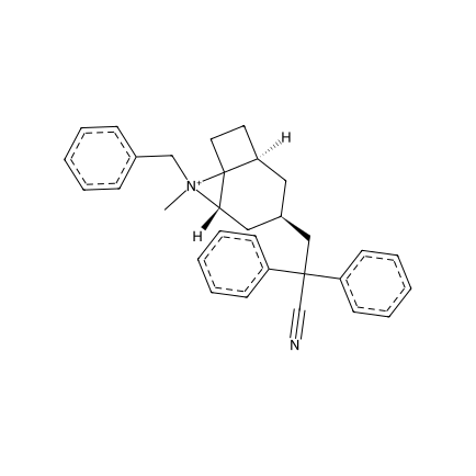 C[N+]1(Cc2ccccc2)[C@H]2C[C@H](CC(C#N)(c3ccccc3)c3ccccc3)C[C@@H]3CCC321